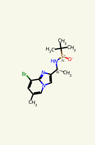 Cc1cc(Br)c2nc([C@@H](C)N[S@+]([O-])C(C)(C)C)cn2c1